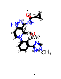 COc1c(-c2ncn(C)n2)cccc1N1C=Cc2[nH]nc(NC(=O)C3CC3)c2C1=C=O